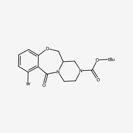 CC(C)(C)OC(=O)N1CCN2C(=O)c3c(Br)cccc3OCC2C1